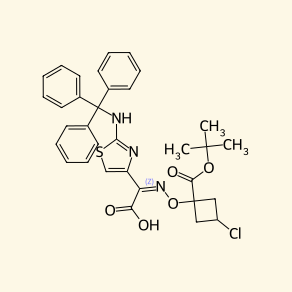 CC(C)(C)OC(=O)C1(O/N=C(\C(=O)O)c2csc(NC(c3ccccc3)(c3ccccc3)c3ccccc3)n2)CC(Cl)C1